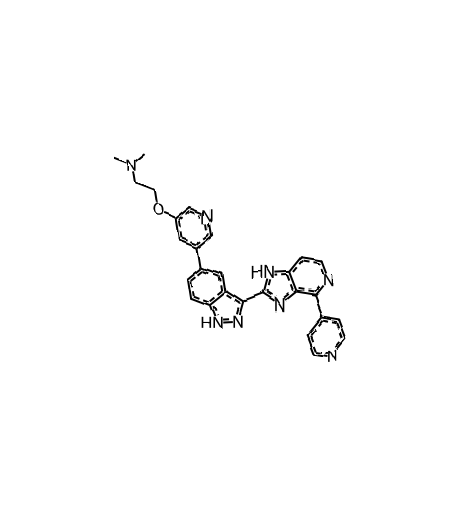 CN(C)CCOc1cncc(-c2ccc3[nH]nc(-c4nc5c(-c6ccncc6)nccc5[nH]4)c3c2)c1